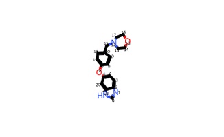 c1nc2ccc(Oc3ccc(CN4CCOCC4)cc3)cc2[nH]1